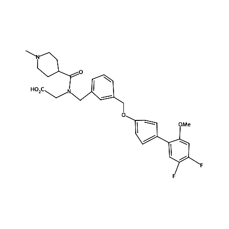 COc1cc(F)c(F)cc1-c1ccc(OCc2cccc(CN(CC(=O)O)C(=O)C3CCN(C)CC3)c2)cc1